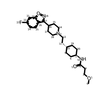 COCCC(=O)N[C@H]1CC[C@H](CCN2CCC(c3noc4cc(F)ccc34)CC2)CC1